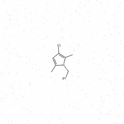 CCc1cc(C)n(CC(C)C)c1C